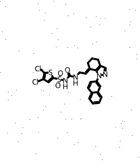 O=C(NC/C=C1\CCCc2cnn(-c3ccc4ccccc4c3)c21)NS(=O)(=O)c1cc(Cl)c(Cl)s1